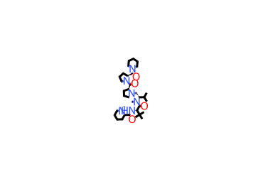 CC(C)[C@@H](CN1CCC[C@H]1C(=O)N1CCC[C@H]1C(=O)N1CCCCC1)N(C)C(=O)[C@@H](NC(=O)C1CCCCN1C)C(C)(C)C